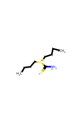 CCCC[SH](CCCC)C(N)=S